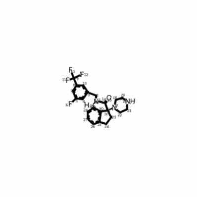 CN(Cc1cc(F)cc(C(F)(F)F)c1)C(=O)[C@]1(N2CCNCC2)CCc2ccccc21